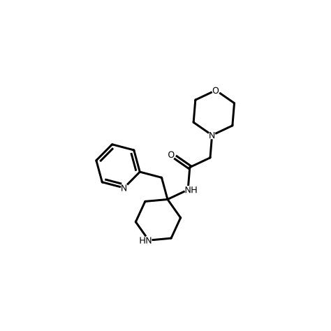 O=C(CN1CCOCC1)NC1(Cc2ccccn2)CCNCC1